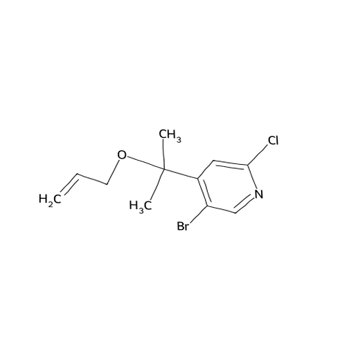 C=CCOC(C)(C)c1cc(Cl)ncc1Br